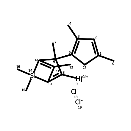 CC1=CC(C)=C(C2(C)[C]([Hf+2])=C3C(C)=C2[Si]3(C)C)C1.[Cl-].[Cl-]